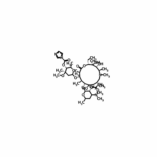 CC[C@H]1OC(=O)[C@H](C)[C@@H](OC2C[C@@](C)(OC)[C@H](OC(=O)n3ccnc3)[C@@H](C)O2)[C@H](C)[C@@H](O[C@@H]2O[C@H](C)CC(N(C)C)[C@H]2OC(C)=O)[C@](C)(O)C[C@@H](C)CN(C)[C@H](C)[C@@H](O)[C@]1(C)O